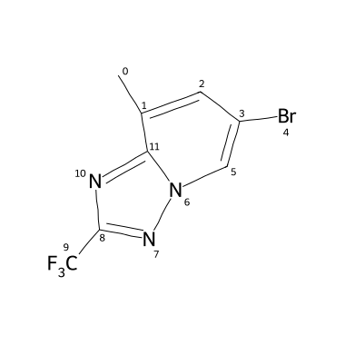 Cc1cc(Br)cn2nc(C(F)(F)F)nc12